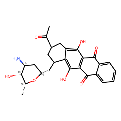 CC(=O)C1Cc2c(O)c3c(c(O)c2C(C[C@H]2C[C@H](N)[C@@H](O)[C@@H](C)O2)C1)C(=O)c1ccccc1C3=O